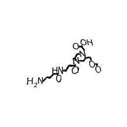 NCCCCC(=O)NCCC(=O)N1CCN(CC(=O)O)C(COC=O)C1